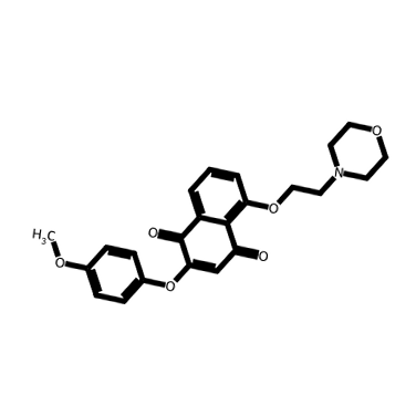 COc1ccc(OC2=CC(=O)c3c(OCCN4CCOCC4)cccc3C2=O)cc1